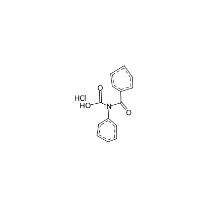 Cl.O=C(O)N(C(=O)c1ccccc1)c1ccccc1